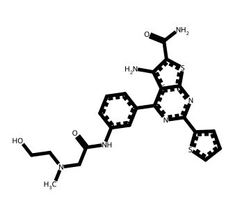 CN(CCO)CC(=O)Nc1cccc(-c2nc(-c3cccs3)nc3sc(C(N)=O)c(N)c23)c1